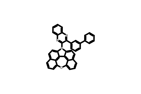 c1ccc(-c2cccc(-c3nc4ccccc4nc3-n3c4ccc5cccc6oc7cccc8ccc3c(c87)c4c56)c2)cc1